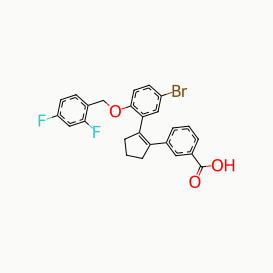 O=C(O)c1cccc(C2=C(c3cc(Br)ccc3OCc3ccc(F)cc3F)CCC2)c1